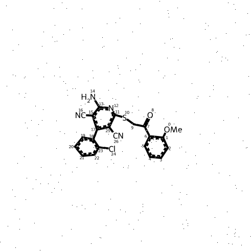 COc1ccccc1C(=O)CSc1nc(N)c(C#N)c(-c2ccccc2Cl)c1C#N